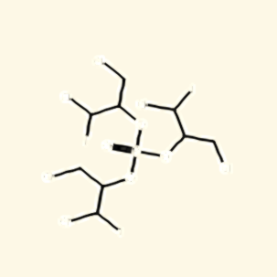 O=P(OC(CCl)C(Cl)I)(OC(CCl)C(Cl)I)OC(CCl)C(Cl)I